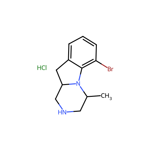 CC1CNCC2Cc3cccc(Br)c3N12.Cl